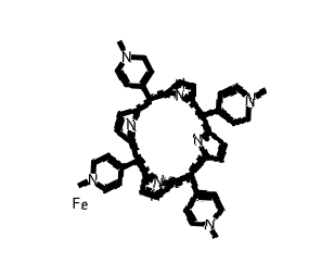 CN1C=CC(c2c3nc(c(C4=CCN(C)C=C4)c4ccc([nH]4)c(C4=CCN(C)C=C4)c4nc(c(C5=CCN(C)C=C5)c5ccc2[nH]5)C=C4)C=C3)=CC1.[Fe]